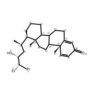 CC[C@@H](C(C)C)[C@H](O)C[C@@H](C)[C@H]1CCCC2C3CCC4=CC(=O)C=C[C@]4(C)C3CC[C@@]21C